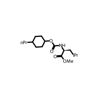 CCCC1CCC(OC(=O)N[C@@H](CC(C)C)C(=O)OC)CC1